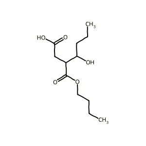 CCCCOC(=O)C(CC(=O)O)C(O)CCC